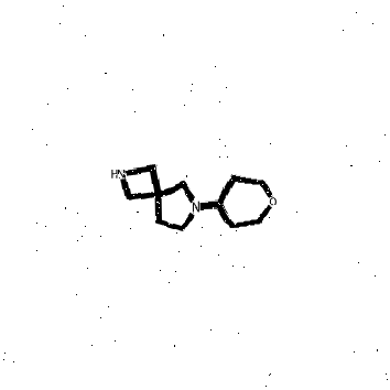 C1CC(N2CCC3(CNC3)C2)CCO1